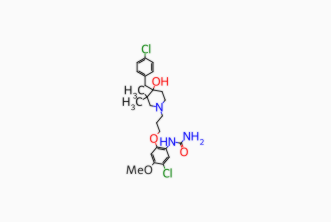 COc1cc(OCCCN2CCC(O)(Cc3ccc(Cl)cc3)C(C)(C)C2)c(NC(N)=O)cc1Cl